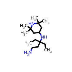 CCC(CC)(CCN)NC1CC(C)(C)NC(C)(C)C1